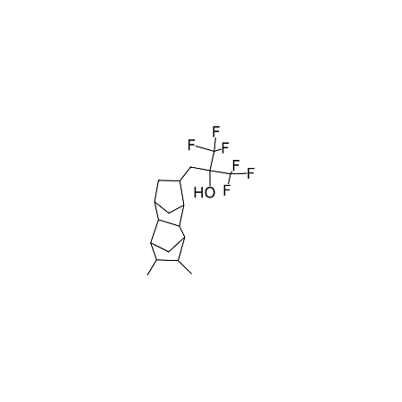 CC1C(C)C2CC1C1C3CC(CC(O)(C(F)(F)F)C(F)(F)F)C(C3)C21